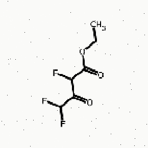 CCOC(=O)C(F)C(=O)C(F)F